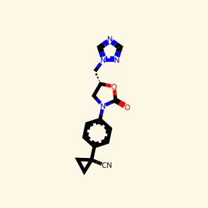 N#CC1(c2ccc(N3C[C@H](Cn4cncn4)OC3=O)cc2)CC1